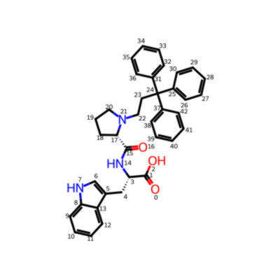 O=C(O)[C@H](Cc1c[nH]c2ccccc12)NC(=O)[C@@H]1CCCN1CCC(c1ccccc1)(c1ccccc1)c1ccccc1